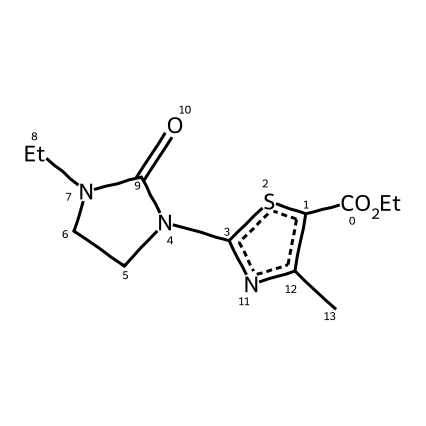 CCOC(=O)c1sc(N2CCN(CC)C2=O)nc1C